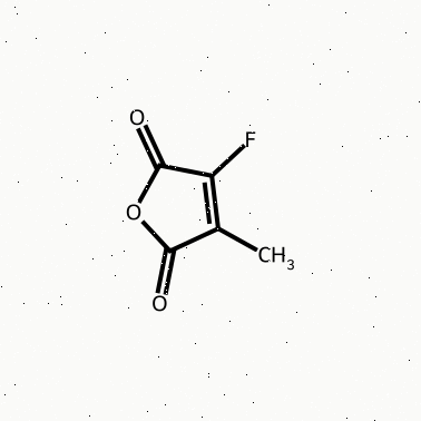 CC1=C(F)C(=O)OC1=O